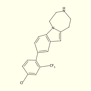 FC(F)(F)c1cc(Cl)ccc1-c1ccc2c(c1)cc1n2CCNCC1